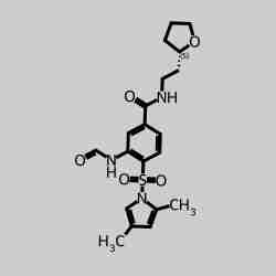 Cc1cc(C)n(S(=O)(=O)c2ccc(C(=O)NCC[C@@H]3CCCO3)cc2NC=O)c1